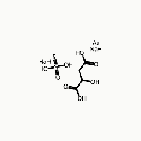 O=C(O)CC(O)C(=O)O.O=S(O)(O)=S.[Au].[NaH].[NaH]